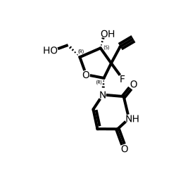 C#CC1(F)[C@@H](O)[C@@H](CO)O[C@H]1n1ccc(=O)[nH]c1=O